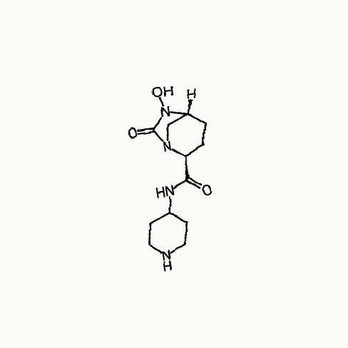 O=C(NC1CCNCC1)[C@@H]1CC[C@@H]2CN1C(=O)N2O